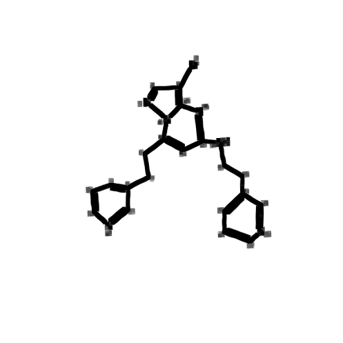 Brc1cnn2c(CCc3cccnc3)cc(NCCc3cccnc3)nc12